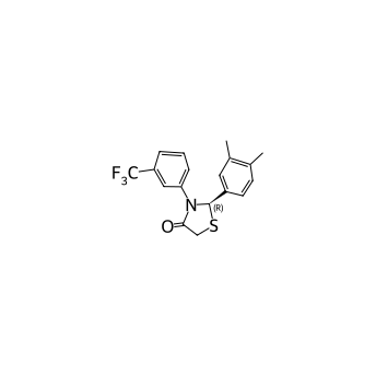 Cc1ccc([C@H]2SCC(=O)N2c2cccc(C(F)(F)F)c2)cc1C